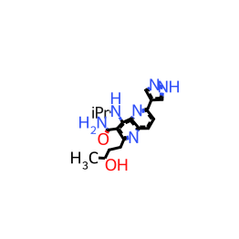 CC(O)CCc1nc2ccc(-c3cn[nH]c3)nc2c(NC(C)C)c1C(N)=O